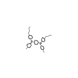 CCCCc1ccc(P(c2ccc(C)cc2)c2ccc(P(c3ccc(C)cc3)c3ccc(CCCC)cc3)cc2)cc1